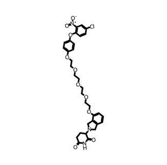 O=C1CCC(N2Cc3cccc(OCCOCCOCCOCCOc4ccc(Oc5ccc(Cl)cc5[N+](=O)[O-])cc4)c3C2)C(=O)N1